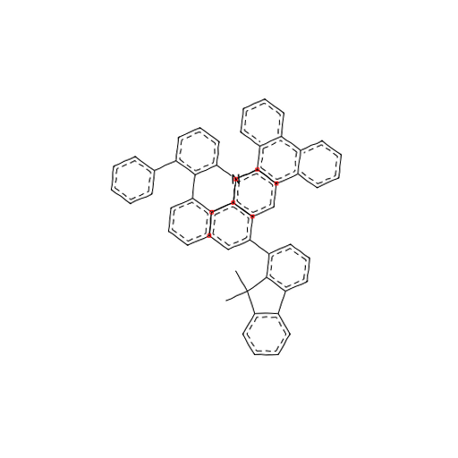 CC1(C)c2ccccc2-c2cccc(-c3cccc(N(c4cccc(-c5ccccc5)c4-c4ccccc4-c4ccccc4)c4cc5ccccc5c5ccccc45)c3)c21